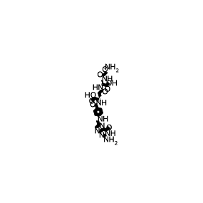 NOCC(=O)NC[C@H](NC(=O)CC[C@H](NC(=O)c1ccc(NCc2cnc3nc(N)[nH]c(=O)c3n2)cc1)C(=O)O)C(=O)O